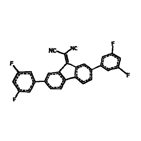 [C-]#[N+]C(C#N)=C1c2cc(-c3cc(F)cc(F)c3)ccc2-c2ccc(-c3cc(F)cc(F)c3)cc21